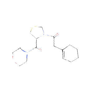 O=C(C1CSCN1C(=O)CC1=CCCCC1)N1CCOCC1